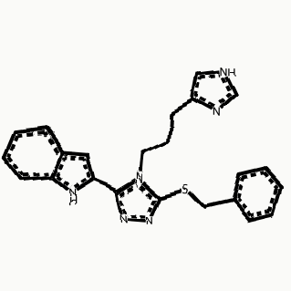 c1ccc(CSc2nnc(-c3cc4ccccc4[nH]3)n2CCCc2c[nH]cn2)cc1